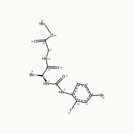 CC[C@H](C)[C@H](NC(=O)Nc1ccc(Br)cc1F)C(=O)NCC(=O)OC(C)(C)C